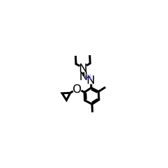 CCN(CC)/N=N/c1c(C)cc(C)cc1OC1CC1